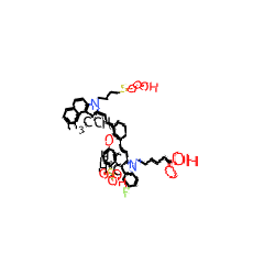 CC1(C)C(/C=C/C2=C(Oc3ccc(S(=O)(=O)O)cc3)C(=C/C=C3/N(CCCCSOOO)c4ccc5ccccc5c4C3(C)C)/CCC2)=[N+](CCCCCC(=O)O)c2ccc(F)cc21